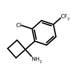 NC1(c2ccc(C(F)(F)F)cc2Cl)CCC1